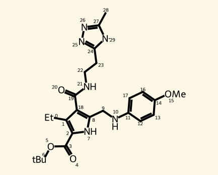 CCc1c(C(=O)OC(C)(C)C)[nH]c(CNc2ccc(OC)cc2)c1C(=O)NCCC1=NN=C(C)[N]1